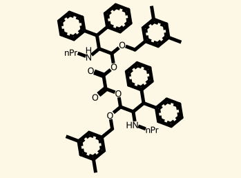 CCCNC(C(OCc1cc(C)cc(C)c1)OC(=O)C(=O)OC(OCc1cc(C)cc(C)c1)C(NCCC)C(c1ccccc1)c1ccccc1)C(c1ccccc1)c1ccccc1